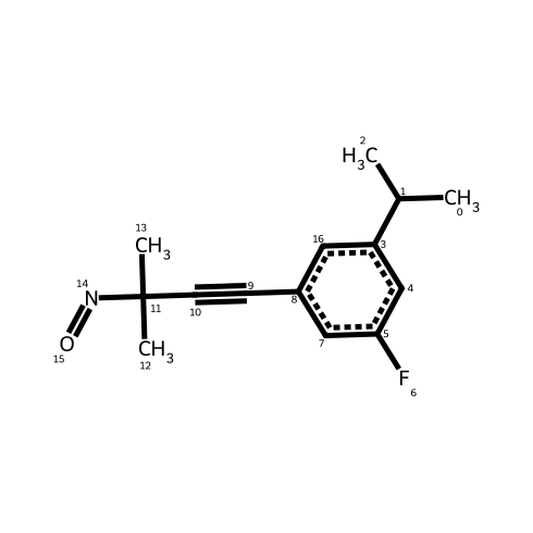 CC(C)c1cc(F)cc(C#CC(C)(C)N=O)c1